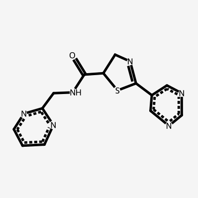 O=C(NCc1ncccn1)C1CN=C(c2cncnc2)S1